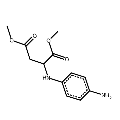 COC(=O)CC(Nc1ccc(N)cc1)C(=O)OC